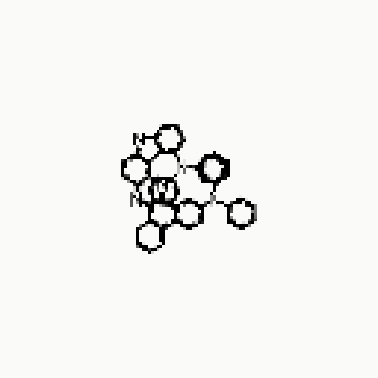 C1=CCc2c(c3ccc(N(c4ccccc4)c4ccccc4)cc3c3nc4c5c(ccc4nc23)=Nc2cccc(N(c3ccccc3)c3ccccc3)c2-5)=C1